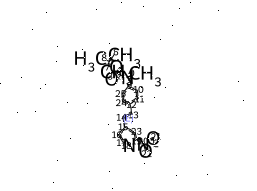 CN(C(=O)OC(C)(C)C)c1ccc(/C=C/c2ccnc([N+](=O)[O-])c2)cc1